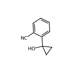 N#Cc1ccccc1C1(O)CC1